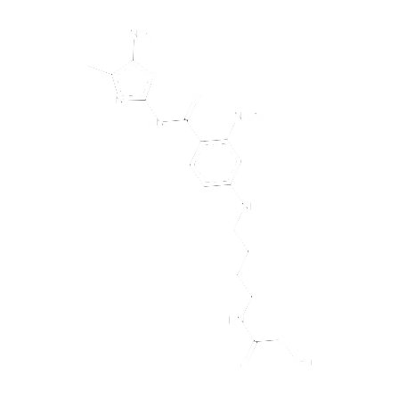 CC(=O)Nc1cc(NCCCCNC(=O)OC(C)(C)C)ccc1C(=O)Nc1nc(C)c([N+](=O)[O-])s1